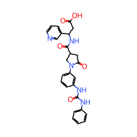 O=C(O)CC(NC(=O)C1CC(=O)N(c2cccc(NC(=O)Nc3ccccc3)c2)C1)c1cccnc1